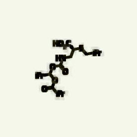 CC(C)CS[C@@H](CNC(=O)O[C@@H](OC(=O)C(C)C)C(C)C)C(=O)O